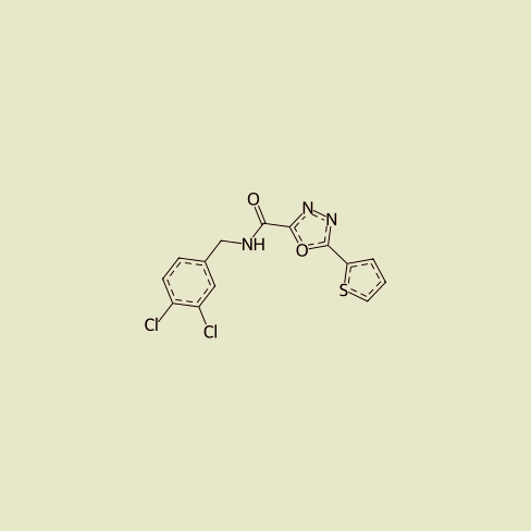 O=C(NCc1ccc(Cl)c(Cl)c1)c1nnc(-c2cccs2)o1